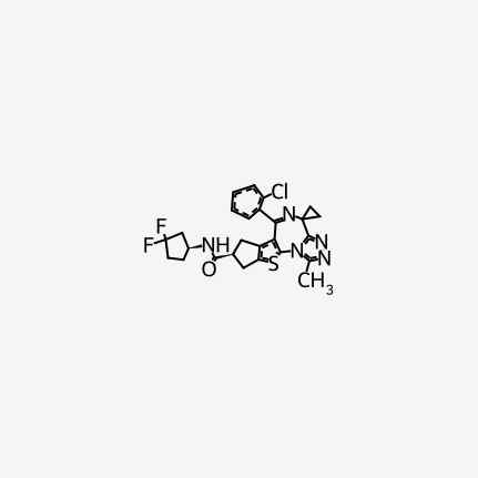 Cc1nnc2n1-c1sc3c(c1C(c1ccccc1Cl)=NC21CC1)C[C@H](C(=O)N[C@H]1CCC(F)(F)C1)C3